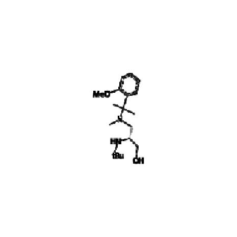 COc1ccccc1C(C)(C)N(C)C[C@H](CO)NC(C)(C)C